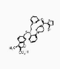 Cc1c(C(=O)O)oc2cc(SN(CCc3ccccc3)c3ccccc3N3CCN(C(=O)c4sccc4Br)CC3)ccc12